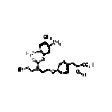 CCOC(Cc1ccc(OCCN(CCC(C)C)C(=O)Oc2cc(C)c(C)cc2C)cc1)C(=O)O